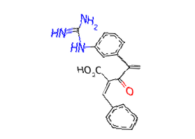 C=C(C(=O)C(=Cc1ccccc1)C(=O)O)c1cccc(NC(=N)N)c1